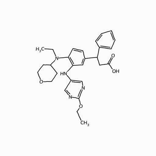 CCOc1ncc(Nc2cc(C(CC(=O)O)c3ccccc3)ccc2N(CC)C2CCOCC2)cn1